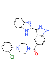 O=C(c1ccc2[nH]nc(-c3nc4ccccc4[nH]3)c2c1)N1CCN(c2ccccc2Cl)CC1